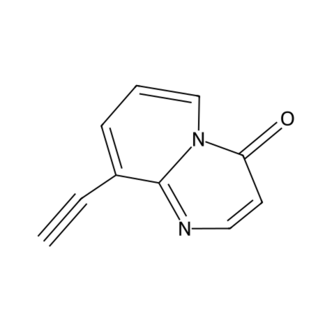 C#Cc1cccn2c(=O)ccnc12